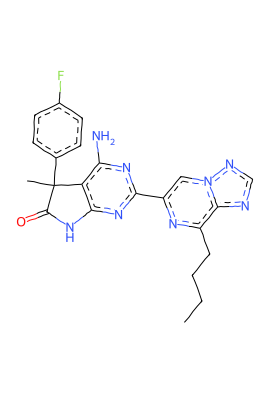 CCCCc1nc(-c2nc(N)c3c(n2)NC(=O)C3(C)c2ccc(F)cc2)cn2ncnc12